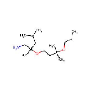 CCCOC(C)(C)CCOC(C)(CN)CC(C)C